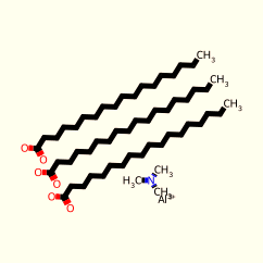 CCCCCCCCCCCCCCCCCC(=O)[O-].CCCCCCCCCCCCCCCCCC(=O)[O-].CCCCCCCCCCCCCCCCCC(=O)[O-].CN(C)C.[Al+3]